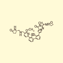 COc1nc(-c2cccc(-c3cccc(-c4cc5c(=O)n(C)c(CNC[C@@H]6CCO6)nn5c4)c3Cl)c2Cl)ccc1CNC[C@H]1CCC(=O)N1